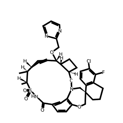 C[C@@H]1[C@@H](C)S(=O)(=O)NC(=O)c2ccc3c(c2)N(C[C@@H]2CC[C@H]2[C@@H](OCc2ncccn2)C2=C[C@H]1C2)C[C@@]1(CCCc2c1ccc(Cl)c2F)CO3